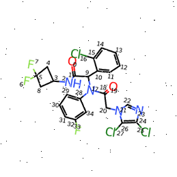 O=C(NC1CC(F)(F)C1)C(c1ccccc1Cl)N(C(=O)Cn1cnc(Cl)c1Cl)c1cccc(F)c1